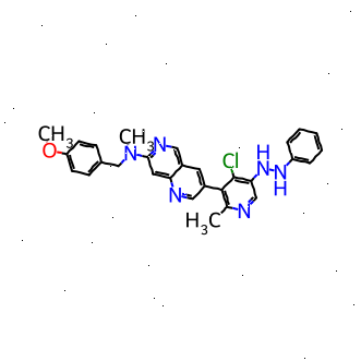 COc1ccc(CN(C)c2cc3ncc(-c4c(C)ncc(NNc5ccccc5)c4Cl)cc3cn2)cc1